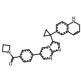 O=C(c1ccc(-c2cnc3ncc(C4(c5ccc6c(c5)C=CCN6)CC4)n3c2)cc1)N1CCC1